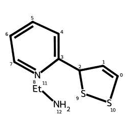 C1=CC(c2ccccn2)SS1.CCN